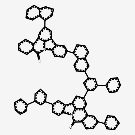 O=c1c2ccc(-c3ccccc3)cc2c2cc(-c3cc(-c4ccccc4)cc(-c4ccc5c(-c6ccc7c(c6)c6cc(-c8cccc9ccccc89)cc8c9ccccc9c(=O)n7c86)cccc5c4)c3)cc3c4cc(-c5cccc(-c6ccccc6)c5)ccc4n1c23